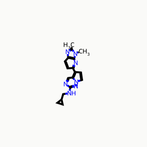 Cc1nc2ccc(-c3ccn4nc(NCC5CC5)ncc34)nc2n1C